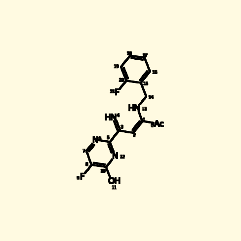 CC(=O)/C(=C/C(=N)c1ncc(F)c(O)n1)NCc1ccccc1F